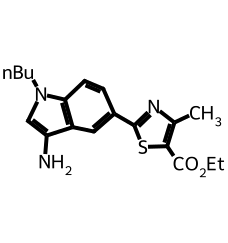 CCCCn1cc(N)c2cc(-c3nc(C)c(C(=O)OCC)s3)ccc21